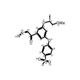 COC[C@H](C)Oc1cc(Oc2ccc(S(C)(=O)=O)cc2)cc(C(=O)C=[N+]=[N-])c1